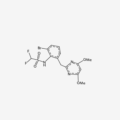 COc1cc(OC)nc(Cc2cccc(Br)c2NS(=O)(=O)C(F)F)n1